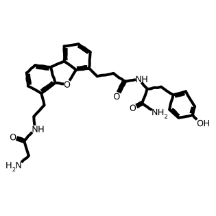 NCC(=O)NCCc1cccc2c1oc1c(CCC(=O)NC(Cc3ccc(O)cc3)C(N)=O)cccc12